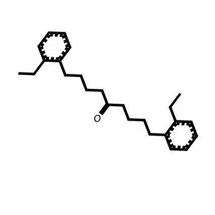 CCc1ccccc1CCCCC(=O)CCCCc1ccccc1CC